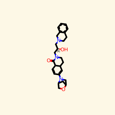 O=C1C2C=CC(N3CC4CC3CO4)=CC2CCN1C[C@H](O)CN1CCc2ccccc2C1